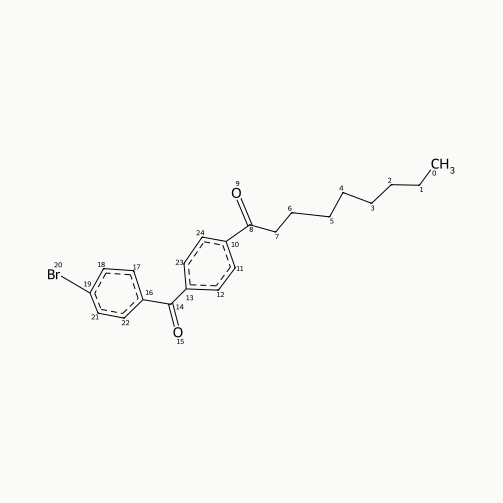 CCCCCCCCC(=O)c1ccc(C(=O)c2ccc(Br)cc2)cc1